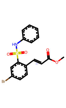 COC(=O)/C=C/c1ccc(Br)cc1S(=O)(=O)Nc1ccccc1